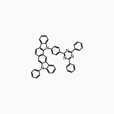 c1ccc(-c2nc(-c3ccccc3)nc(-c3ccc(-n4c5ccccc5c5ccc6cc7c(cc6c54)c4ccccc4n7-c4ccccc4)cc3)n2)cc1